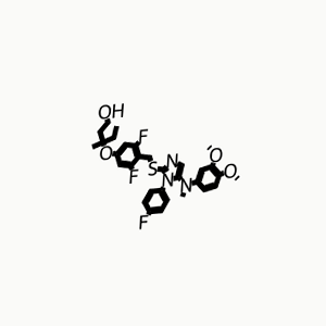 CCC(C)(CCO)Oc1cc(F)c(CSc2ncc(N(C)c3ccc(OC)c(OC)c3)n2-c2ccc(F)cc2)c(F)c1